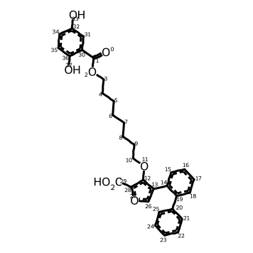 O=C(OCCCCCCCCOc1c(-c2ccccc2-c2ccccc2)coc1C(=O)O)c1cc(O)ccc1O